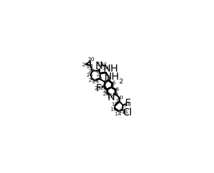 NC1=C2C(c3ccc4cc(CC5=CC=CC(Cl)C5F)ncc4c3F)=CCCC(C3CC3)C2=NCN1